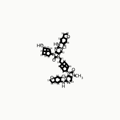 Cn1c(=O)n(C23CC4CC5(CCn6c(=O)n(C78CC9CC%10C(O)C(C7)C9%10C8)c7nc(NC8=CC9CCOC9C=C8Cl)ncc76)CC(C2)C45C3)c2nc(NC3=CC4CCOC4C=C3Cl)ncc21